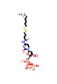 O=C(O)CCCCCSSCCCC(=O)Nc1ccn([C@H]2C[C@@H](O)[C@@H](COP(=O)(O)OP(=O)(O)OP(=O)(O)O)O2)c(=O)n1